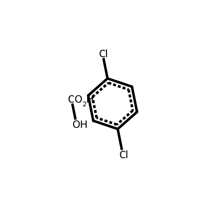 Clc1ccc(Cl)cc1.O=C(O)O